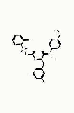 COc1ccc(N(C)C(=O)C(Cc2cc(F)cc(F)c2)NC(=O)NS(=O)(=O)c2ccccc2C)cc1